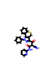 N#CC(C(=O)Nc1ccccn1)C(=O)c1nn(-c2ccccc2)c2c1CSc1ccccc1-2